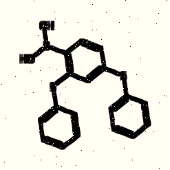 OB(O)c1ccc(Sc2ccccc2)cc1Sc1ccccc1